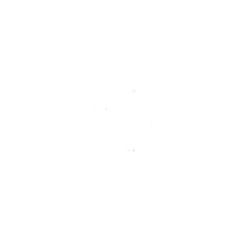 Cc1oc2cccc(-c3ccccc3)c2c1-c1ccccc1